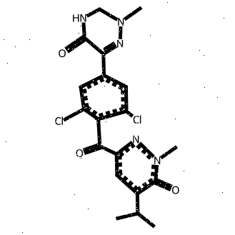 CC(C)c1cc(C(=O)c2c(Cl)cc(C3=NN(C)CNC3=O)cc2Cl)nn(C)c1=O